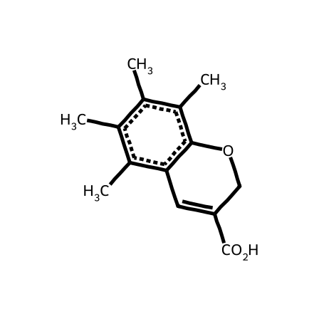 Cc1c(C)c(C)c2c(c1C)C=C(C(=O)O)CO2